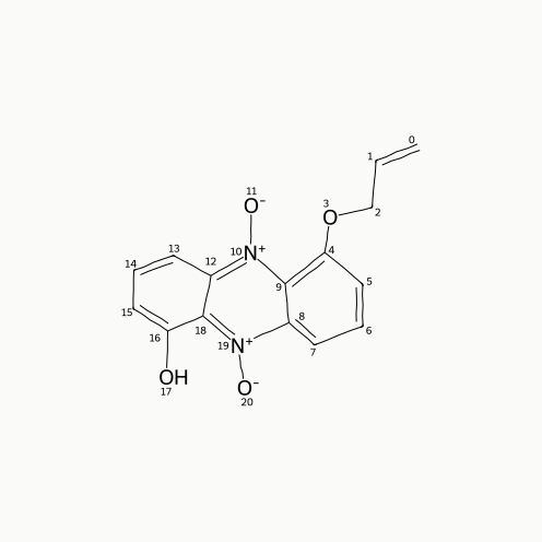 C=CCOc1cccc2c1[n+]([O-])c1cccc(O)c1[n+]2[O-]